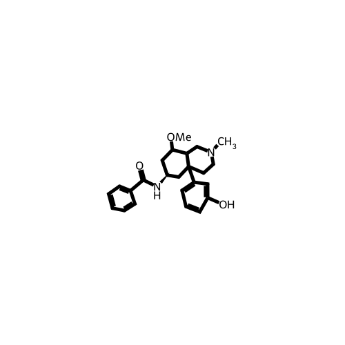 COC1C[C@H](NC(=O)c2ccccc2)CC2(c3cccc(O)c3)CCN(C)CC12